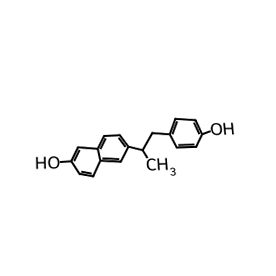 CC(Cc1ccc(O)cc1)c1ccc2cc(O)ccc2c1